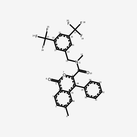 Cc1ccc2c(=O)oc(C(=O)N(C)Cc3cc(C(F)(F)F)cc(C(F)(F)F)c3)c(-c3ccccc3)c2c1